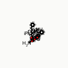 CC(C)CC(NC(=O)C(Cc1ccccc1)NC(=O)C(N)Cc1ccccc1)C(=O)NC(CCCCN)C(=O)N1C2CC1CN(Cc1ccccc1)C2